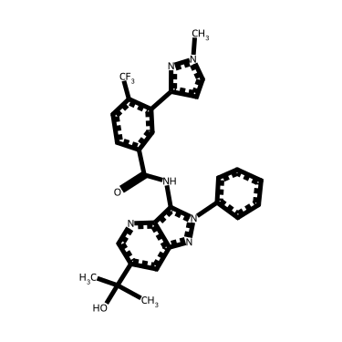 Cn1ccc(-c2cc(C(=O)Nc3c4ncc(C(C)(C)O)cc4nn3-c3ccccc3)ccc2C(F)(F)F)n1